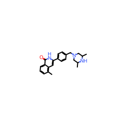 Cc1cccc2c(=O)[nH]c(-c3ccc(CN4CC(C)NC(C)C4)cc3)cc12